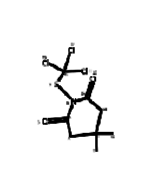 CC1(C)CC(=O)N(SC(Cl)(Cl)Cl)C(=O)C1